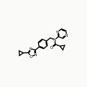 O=C(C1CC1)N(Cc1ccc(-c2noc(C3CC3)n2)cc1)c1cnccn1